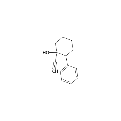 C#CC1(O)CCCCC1c1ccccc1